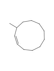 CC1C=CCCCCCCCC1